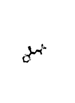 C#C/C(=C\C=C(/C)N(C)C)C1SCCCS1